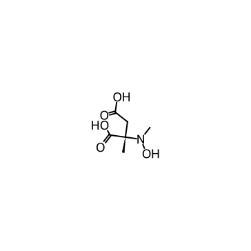 CN(O)[C@@](C)(CC(=O)O)C(=O)O